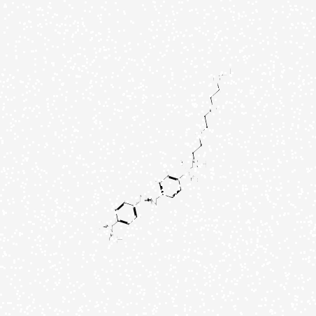 CCOCCOCCOCCNS(=O)(=O)c1ccc(/N=N/c2ccc(N(C)C)cc2)cc1